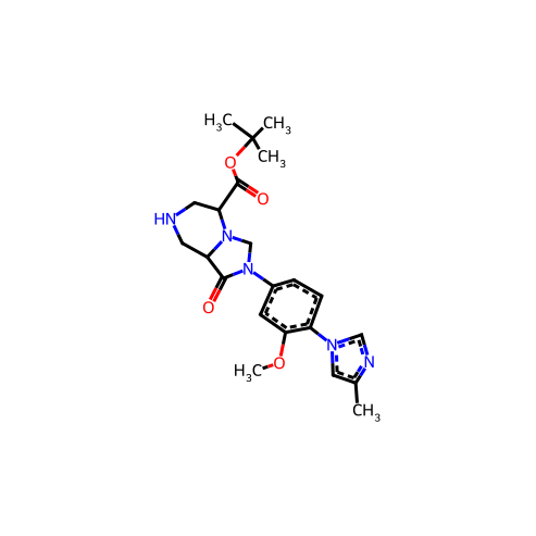 COc1cc(N2CN3C(C(=O)OC(C)(C)C)CNCC3C2=O)ccc1-n1cnc(C)c1